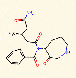 C[C@@H](CC(N)=O)CC(=O)N(C(=O)c1ccccc1)C1CCCNCC1=O